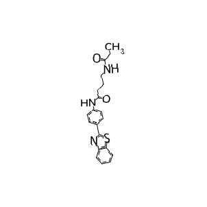 CCC(=O)NCCCC(=O)Nc1ccc(-c2nc3ccccc3s2)cc1